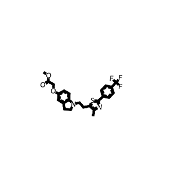 COC(=O)COc1ccc2c(c1)CCN2CCc1sc(-c2ccc(C(F)(F)F)cc2)nc1C